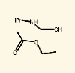 CC(C)NCO.CCOC(C)=O